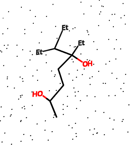 CCC(CC)C(O)(CC)CCC(C)O